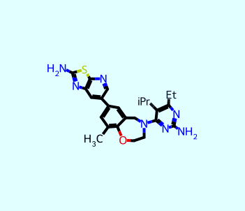 CCc1nc(N)nc(N2CCOc3c(C)cc(-c4cnc5sc(N)nc5c4)cc3C2)c1C(C)C